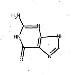 Nc1nc2[nH][c]nc2c(=O)[nH]1